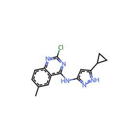 Cc1ccc2nc(Cl)nc(Nc3cc(C4CC4)[nH]n3)c2c1